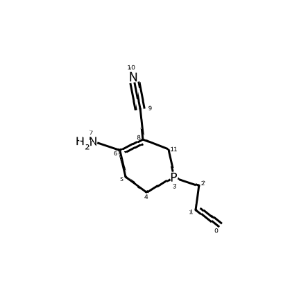 C=CCP1CCC(N)=C(C#N)C1